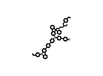 C=Cc1ccc(CC(CC)CCCCC2(c3ccccc3)c3ccccc3-c3ccc(N(c4ccc(-c5ccc(F)cc5)cc4)c4ccc(-c5ccc(-c6ccc7c(c6)c6ccccc6n7-c6ccc(C=C)cc6)cc5)cc4)cc32)cc1